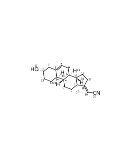 C[C@]12CC[C@H]3[C@@H](CC=C4C[C@@H](O)CC[C@@H]43)[C@@H]1CC/C2=C\C#N